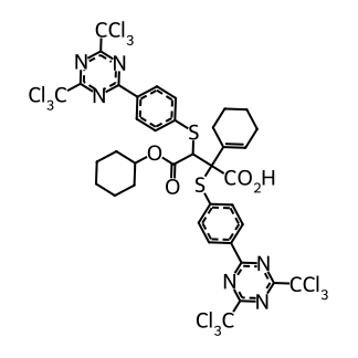 O=C(OC1CCCCC1)C(Sc1ccc(-c2nc(C(Cl)(Cl)Cl)nc(C(Cl)(Cl)Cl)n2)cc1)C(Sc1ccc(-c2nc(C(Cl)(Cl)Cl)nc(C(Cl)(Cl)Cl)n2)cc1)(C(=O)O)C1=CCCCC1